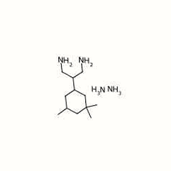 CC1CC(C(CN)CN)CC(C)(C)C1.N.N